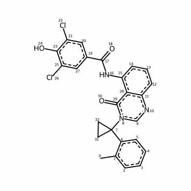 Cc1ccccc1C1(n2cnc3cccc(NC(=O)c4cc(Cl)c(O)c(Cl)c4)c3c2=O)CC1